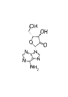 Nc1ncnc2c1ncn2[C@@H]1O[C@H](CO)[C@@H](O)C1=O